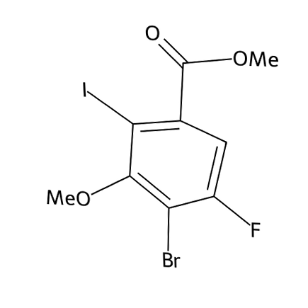 COC(=O)c1cc(F)c(Br)c(OC)c1I